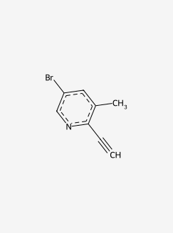 C#Cc1ncc(Br)cc1C